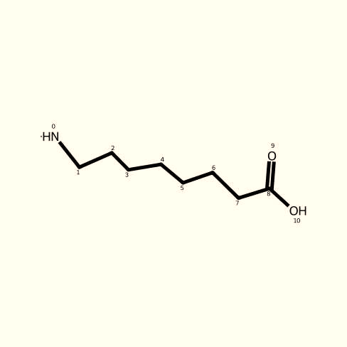 [NH]CCCCCCCC(=O)O